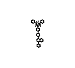 c1ccc(-c2nc(-c3ccccc3)nc(-c3ccc(-c4ccc(-c5ccc(-c6ccccc6)c6ccccc56)cc4)cc3)n2)cc1